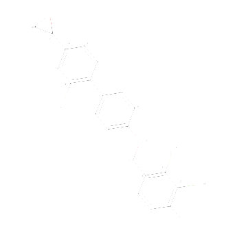 CCCc1ccc(COc2ccc(-c3ccc(C4CO4)cc3F)cc2)c(F)c1F